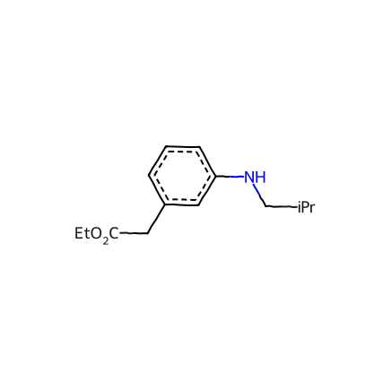 CCOC(=O)Cc1cccc(NCC(C)C)c1